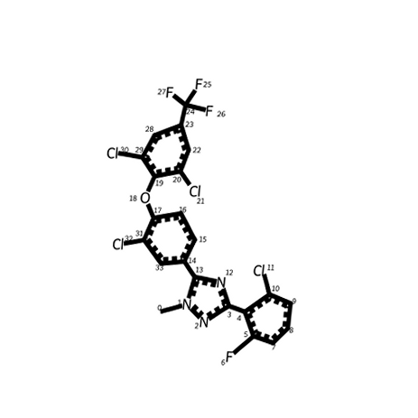 Cn1nc(-c2c(F)cccc2Cl)nc1-c1ccc(Oc2c(Cl)cc(C(F)(F)F)cc2Cl)c(Cl)c1